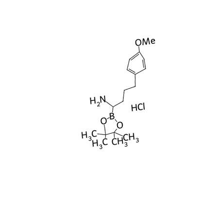 COc1ccc(CCCC(N)B2OC(C)(C)C(C)(C)O2)cc1.Cl